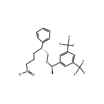 C[C@@H](OC[C@H](CCC[N+](=O)[O-])c1ccccc1)c1cc(C(F)(F)F)cc(C(F)(F)F)c1